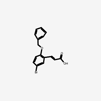 O=C(O)/C=C/c1cc(Br)ccc1OCc1ccccc1